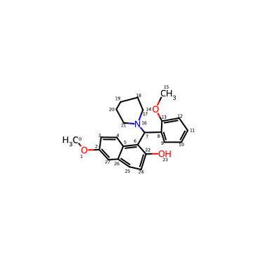 COc1ccc2c(C(c3ccccc3OC)N3CCCCC3)c(O)ccc2c1